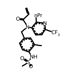 C=CC(=O)N(Cc1ccc(NS(C)(=O)=O)c(C)c1)c1ccc(C(F)(F)F)nc1CCC